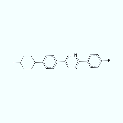 CC1CCC(c2ccc(-c3cnc(-c4ccc(F)cc4)nc3)cc2)CC1